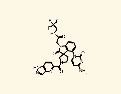 Nc1ccn(-c2cccc3c2C2(CCN(C(=O)c4ccc5[nH]ncc5n4)C2)C(=O)N3CC(=O)NCC(F)(F)F)c(=O)n1